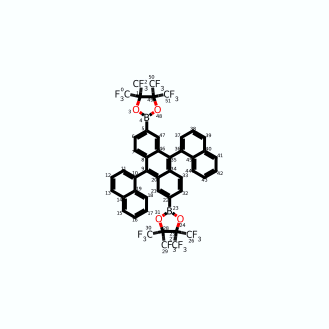 FC(F)(F)C1(C(F)(F)F)OB(c2ccc3c(-c4cccc5ccccc45)c4cc(B5OC(C(F)(F)F)(C(F)(F)F)C(C(F)(F)F)(C(F)(F)F)O5)ccc4c(-c4cccc5ccccc45)c3c2)OC1(C(F)(F)F)C(F)(F)F